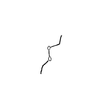 CCOOCC